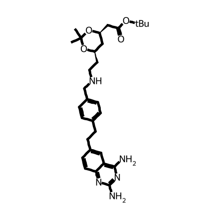 CC(C)(C)OC(=O)C[C@H]1C[C@@H](CCNCc2ccc(CCc3ccc4nc(N)nc(N)c4c3)cc2)OC(C)(C)O1